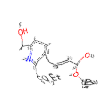 CCOC(=O)c1nc(CO)ccc1C=CC(=O)OC(C)(C)C